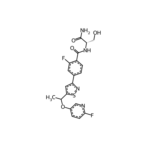 CC(Oc1ccc(F)nc1)c1cc(-c2ccc(C(=O)N[C@@H](CO)C(N)=O)c(F)c2)ns1